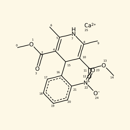 COC(=O)C1=C(C)NC(C)=C(C(=O)OC)C1c1ccccc1[N+](=O)[O-].[Ca+2]